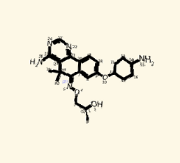 C[C@H](O)CO/N=C1\c2cc(OC3CCC(N)CC3)ccc2-c2ncnc(N)c2C1(C)C